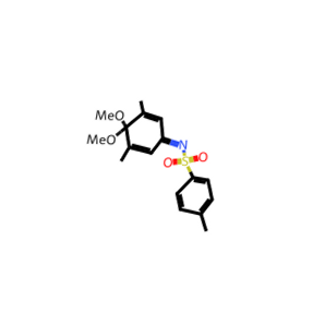 COC1(OC)C(C)=CC(=NS(=O)(=O)c2ccc(C)cc2)C=C1C